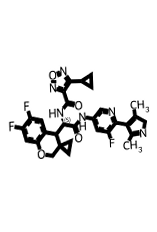 CC1=NCC(C)=C1c1ncc(NC(=O)[C@@H](NC(=O)c2nonc2C2CC2)C2c3cc(F)c(F)cc3OCC23CC3)cc1F